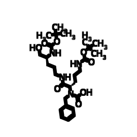 CC(C)(C)OC(=O)NCCC[C@@H](C(=O)NCCC[C@@H](CO)NC(=O)OC(C)(C)C)N(Cc1ccccc1)C(=O)O